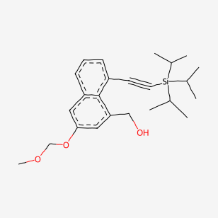 COCOc1cc(CO)c2c(C#C[Si](C(C)C)(C(C)C)C(C)C)cccc2c1